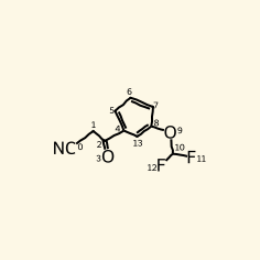 N#CCC(=O)c1cccc(OC(F)F)c1